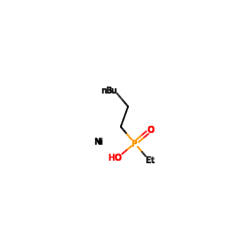 CCCCCCP(=O)(O)CC.[Ni]